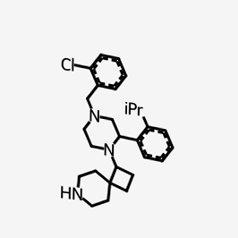 CC(C)c1ccccc1C1CN(Cc2ccccc2Cl)CCN1C1CCC12CCNCC2